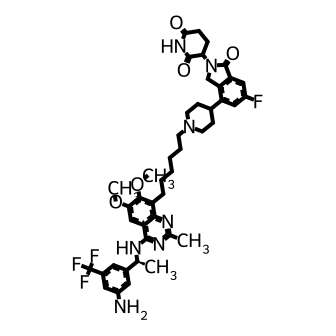 COc1cc2c(N[C@@H](C)c3cc(N)cc(C(F)(F)F)c3)nc(C)nc2c(CCCCCCN2CCC(c3cc(F)cc4c3CN(C3CCC(=O)NC3=O)C4=O)CC2)c1OC